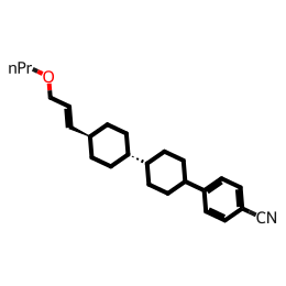 CCCOC/C=C/[C@H]1CC[C@H](C2CCC(c3ccc(C#N)cc3)CC2)CC1